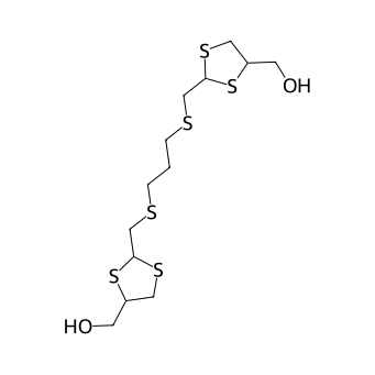 OCC1CSC(CSCCCSCC2SCC(CO)S2)S1